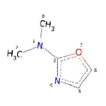 CN(C)c1ncco1